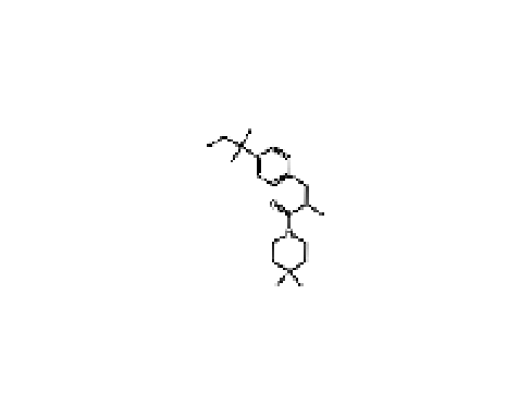 CCC(C)(C)c1ccc(CC(C)C(=O)N2CC[Si](C)(C)CC2)cc1